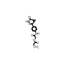 CCC(=O)OCC(=O)Nc1ccc(C2=NNC(=O)C3CC23)cc1